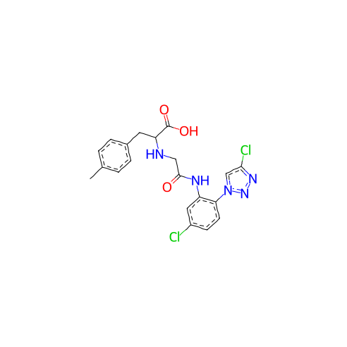 Cc1ccc(CC(NCC(=O)Nc2cc(Cl)ccc2-n2cc(Cl)nn2)C(=O)O)cc1